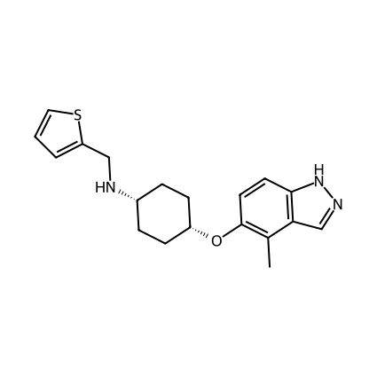 Cc1c(O[C@H]2CC[C@@H](NCc3cccs3)CC2)ccc2[nH]ncc12